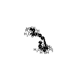 C=CCn1c(=O)c2cnc(Nc3ccc(N4CCN(CCCCCC(=O)N[C@H](C(=O)N5C[C@@H](O)C[C@@H]5C(=O)N[C@@H](C)c5ccc(-c6scnc6C)cc5)C(C)(C)C)CC4)cc3)nc2n1-c1cccc(C(C)(C)O)n1